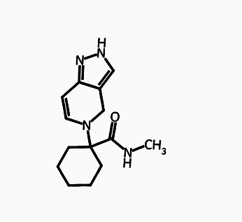 CNC(=O)C1(N2C=Cc3n[nH]cc3C2)CCCCC1